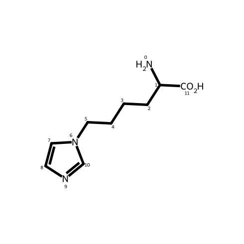 NC(CCCCn1ccnc1)C(=O)O